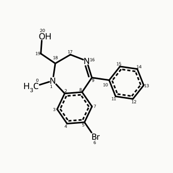 CN1c2ccc(Br)cc2C(c2ccccc2)=NCC1CO